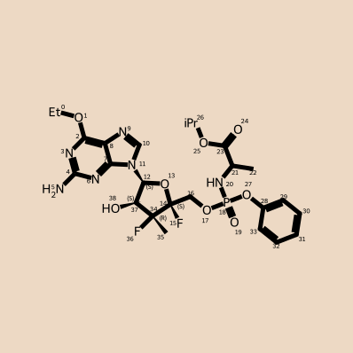 CCOc1nc(N)nc2c1ncn2[C@H]1O[C@](F)(COP(=O)(NC(C)C(=O)OC(C)C)Oc2ccccc2)[C@](C)(F)[C@H]1O